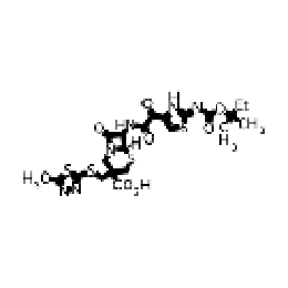 CCC(C)(C)OC(=O)N=c1[nH]c(C(=O)C(=O)NC2C(=O)N3CC(CSc4nnc(C)s4)(C(=O)O)CS[C@H]23)cs1